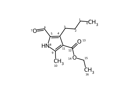 CCCCc1c(C=O)[nH]c(C)c1C(=O)OCC